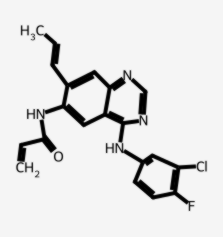 C=CC(=O)Nc1cc2c(Nc3ccc(F)c(Cl)c3)ncnc2cc1C=CC